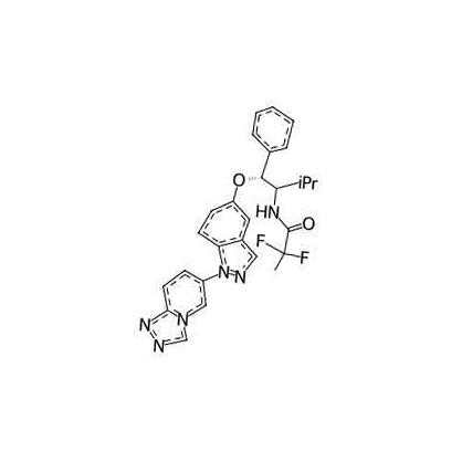 CC(C)C(NC(=O)C(C)(F)F)[C@H](Oc1ccc2c(cnn2-c2ccc3nncn3c2)c1)c1ccccc1